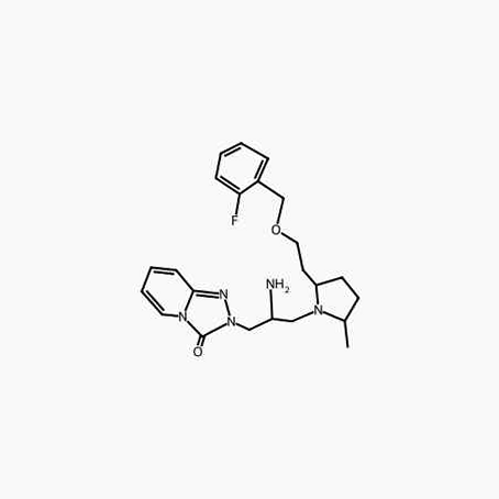 CC1CCC(CCOCc2ccccc2F)N1CC(N)Cn1nc2ccccn2c1=O